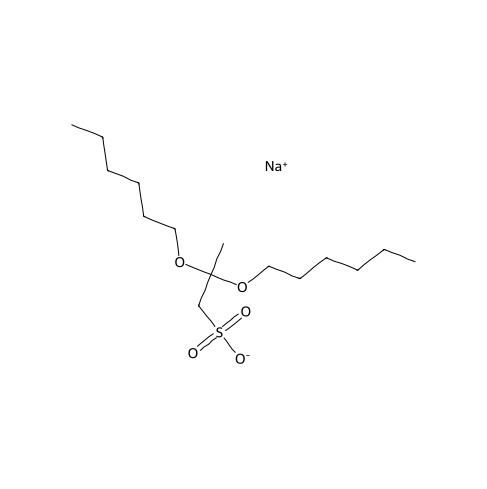 CCCCCCOC(C)(CS(=O)(=O)[O-])OCCCCCC.[Na+]